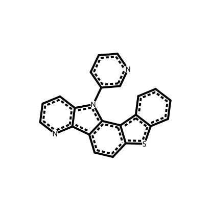 c1cncc(-n2c3cccnc3c3ccc4sc5ccccc5c4c32)c1